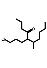 CCCCC(C)C(CCCCl)C(=O)CCC